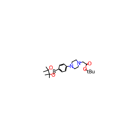 CC(C)(C)OC(=O)CN1CCN(c2ccc(B3OC(C)(C)C(C)(C)O3)cc2)CC1